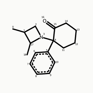 CC1CN(C2(c3ccccc3)CCCCC2=O)C1C